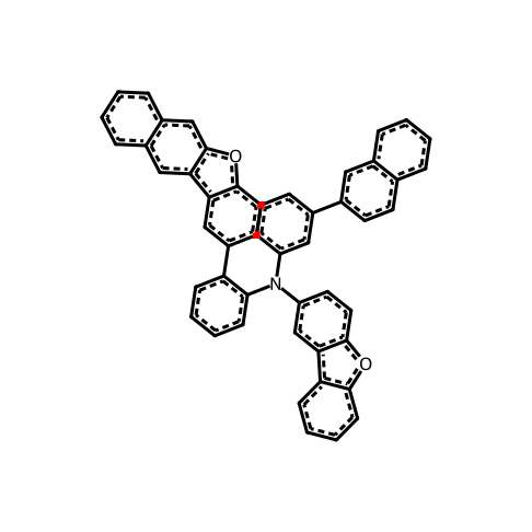 c1cc(-c2ccc3ccccc3c2)cc(N(c2ccc3oc4ccccc4c3c2)c2ccccc2-c2ccc3oc4cc5ccccc5cc4c3c2)c1